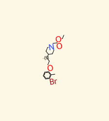 CCOC(=O)CN1CCC([C@@H](C)CCOc2cccc(Br)c2C)CC1